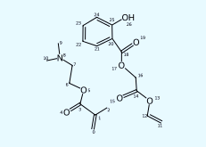 C=C(C)C(=O)OCCN(C)C.C=COC(=O)COC(=O)c1ccccc1O